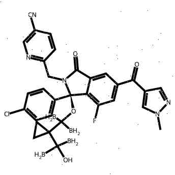 BC(B)(O)C1(C(B)(B)O[C@]2(c3ccc(Cl)cc3)c3c(F)cc(C(=O)c4cnn(C)c4)cc3C(=O)N2Cc2ccc(C#N)cn2)CC1